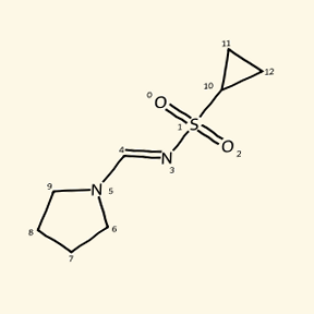 O=S(=O)(N=CN1CCCC1)C1CC1